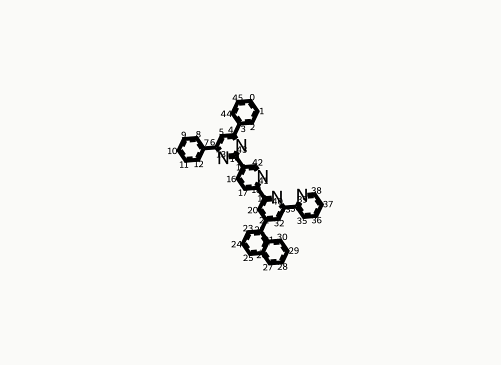 c1ccc(-c2cc(-c3ccccc3)nc(-c3ccc(-c4cc(-c5cccc6ccccc56)cc(-c5ccccn5)n4)nc3)n2)cc1